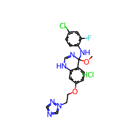 COC1(Nc2ccc(Cl)cc2F)N=CNc2cc(OCCn3cncn3)ccc21.Cl